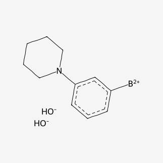 [B+2]c1cccc(N2CCCCC2)c1.[OH-].[OH-]